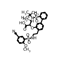 CCC(Oc1cc(-c2ccccc2S(=O)(=O)NC(C)(C)C)ccc1CCNS(=O)(=O)c1cc(C#N)ccc1OC)C(=O)O